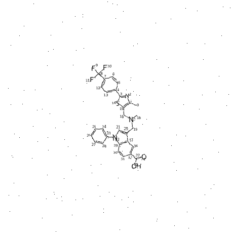 Cc1nc(-c2ccc(C(F)(F)F)cc2)sc1CN(C)Cc1cn(-c2ccccc2)c2ccc(C(=O)O)cc12